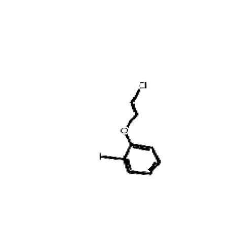 ClCCOc1ccccc1I